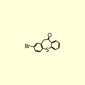 O=C1Cc2cc(Br)ccc2Sc2ccccc21